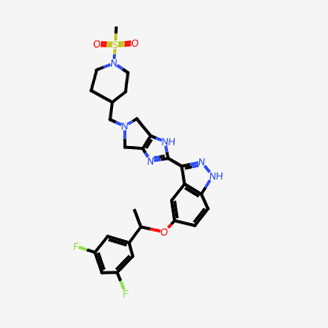 CC(Oc1ccc2[nH]nc(-c3nc4c([nH]3)CN(CC3CCN(S(C)(=O)=O)CC3)C4)c2c1)c1cc(F)cc(F)c1